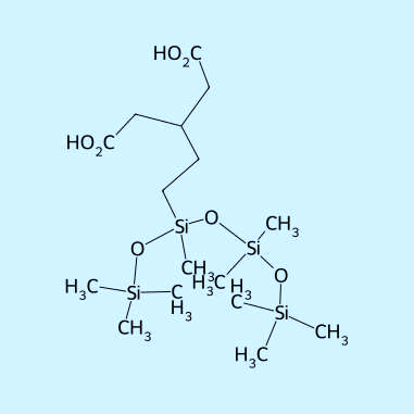 C[Si](C)(C)O[Si](C)(C)O[Si](C)(CCC(CC(=O)O)CC(=O)O)O[Si](C)(C)C